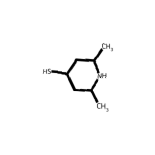 CC1CC(S)CC(C)N1